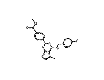 COC(=O)c1ccc(-c2nc(NCc3ccc(F)cc3)c3c(C)csc3n2)cc1